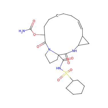 NC(=O)OC1CCCCCC=CC2CC2NC(=O)C2(C(=O)NS(=O)(=O)C3CCCCC3)CCCN2C1=O